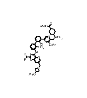 COC(=O)C1CCC(N(C)Cc2ncc(-c3cccc(-c4cccc(Nc5nc(C(F)F)nc6cc(CN7CC(OC)C7)cnc56)c4C)c3Cl)nc2OC)CC1